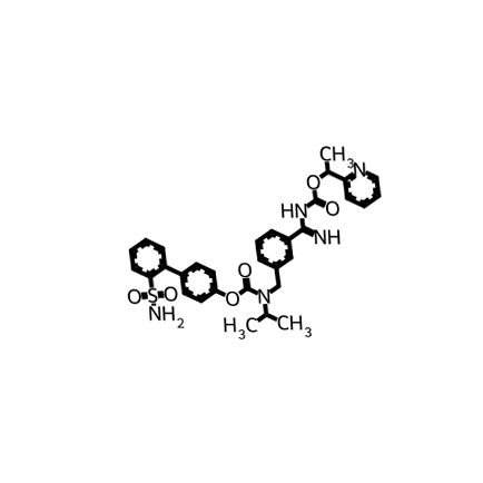 CC(OC(=O)NC(=N)c1cccc(CN(C(=O)Oc2ccc(-c3ccccc3S(N)(=O)=O)cc2)C(C)C)c1)c1ccccn1